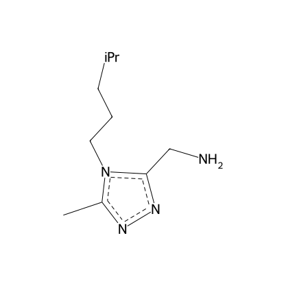 Cc1nnc(CN)n1CCCC(C)C